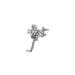 COc1ccc(-c2nc(-c3cc(C(=O)O)cc(C(=O)O)c3)n(Cc3ccc(C(=O)NCCOCCOCCN)cc3)c2-c2ccc(OC)c(C)c2)cc1C